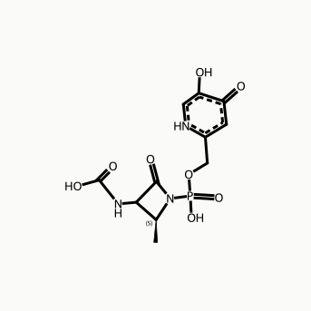 C[C@H]1C(NC(=O)O)C(=O)N1P(=O)(O)OCc1cc(=O)c(O)c[nH]1